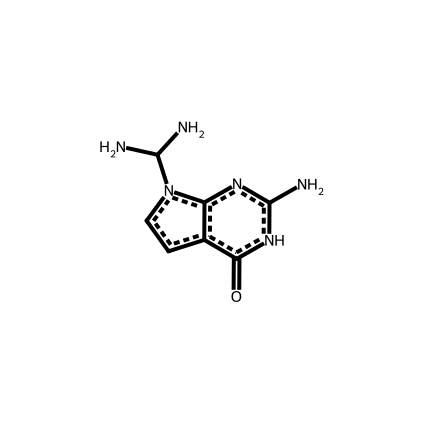 Nc1nc2c(ccn2C(N)N)c(=O)[nH]1